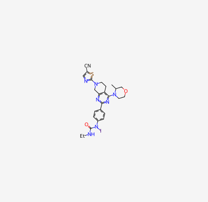 CCNC(=O)N(I)c1ccc(-c2nc3c(c(N4CCOCC4C)n2)CCN(c2ncc(C#N)s2)C3)cc1